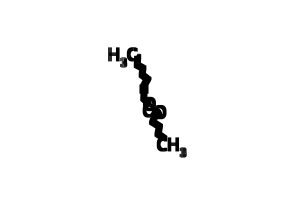 CCCCCCC#CCOOC(=O)CCCCC